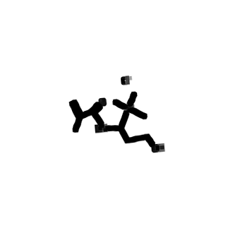 C=C(C)C(=O)NC(CCO)[N+](C)(C)C.[Cl-]